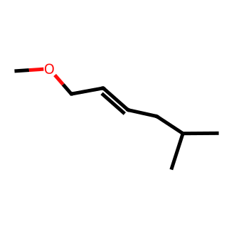 COCC=CCC(C)C